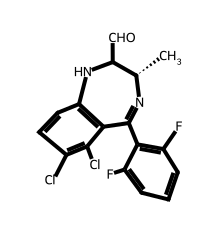 C[C@@H]1N=C(c2c(F)cccc2F)c2c(ccc(Cl)c2Cl)NC1C=O